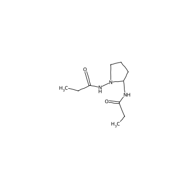 CCC(=O)NC1CCCN1NC(=O)CC